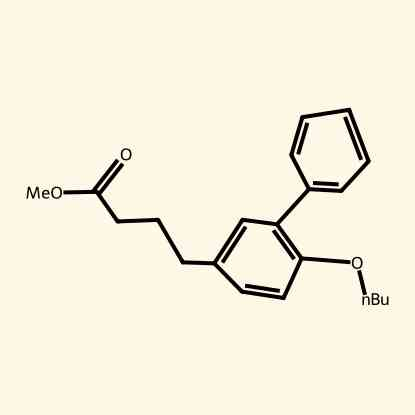 CCCCOc1ccc(CCCC(=O)OC)cc1-c1ccccc1